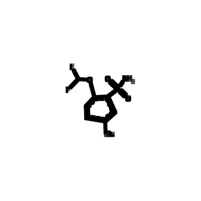 CC(C)(C)c1ccc(OC(F)F)c(S(N)(=O)=O)c1